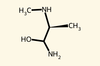 CN[C@@H](C)C(N)O